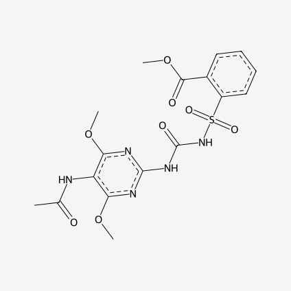 COC(=O)c1ccccc1S(=O)(=O)NC(=O)Nc1nc(OC)c(NC(C)=O)c(OC)n1